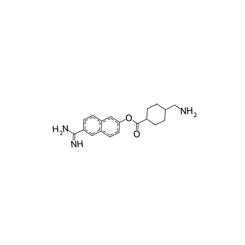 N=C(N)c1ccc2cc(OC(=O)C3CCC(CN)CC3)ccc2c1